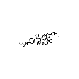 C=C1CN2C[C@@H](OC(=O)c3ccc([N+](=O)[O-])cc3)C[C@@]2(C(=O)OC)C1